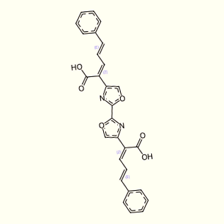 O=C(O)/C(=C\C=C\c1ccccc1)c1coc(-c2nc(/C(=C/C=C/c3ccccc3)C(=O)O)co2)n1